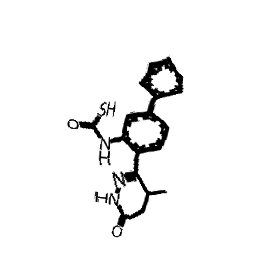 CC1CC(=O)NN=C1c1ccc(-c2ccccc2)cc1NC(=O)S